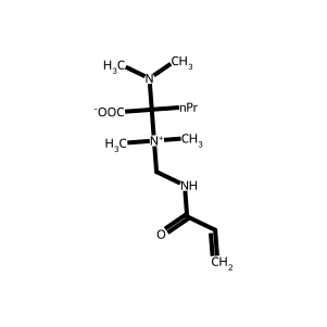 C=CC(=O)NC[N+](C)(C)C(CCC)(C(=O)[O-])N(C)C